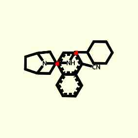 N#Cc1ccc(N2C3CCC2CC(NCC2CCCCC2)C3)c2ccccc12